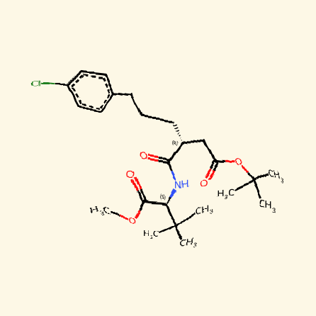 COC(=O)[C@@H](NC(=O)[C@H](CCCc1ccc(Cl)cc1)CC(=O)OC(C)(C)C)C(C)(C)C